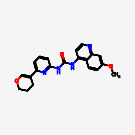 COc1ccc2c(NC(=O)Nc3cccc(C4=COCCC4)n3)ccnc2c1